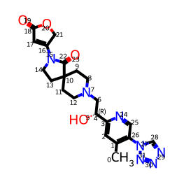 Cc1cc([C@H](O)CN2CCC3(CC2)CCN(C2=CC(=O)OC2)C3=O)ncc1-n1cnnn1